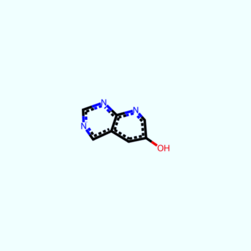 Oc1cnc2ncncc2c1